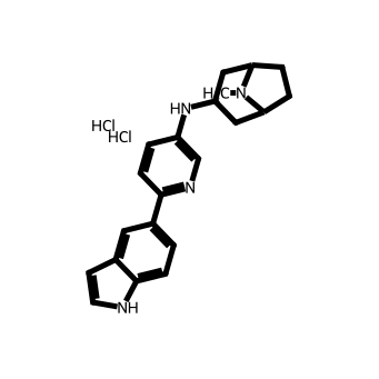 CN1C2CCC1CC(Nc1ccc(-c3ccc4[nH]ccc4c3)nc1)C2.Cl.Cl